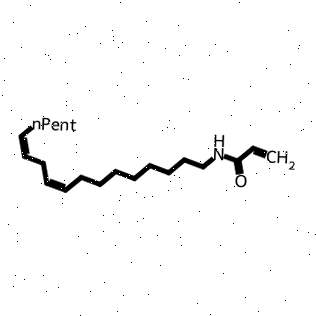 C=CC(=O)NCCCCCCCC/C=C\C/C=C\CCCCC